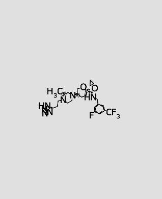 C[C@H]1CN([C@@H]2CC[C@@](C(=O)NCc3cc(F)cc(C(F)(F)F)c3)(C3CC3)OC2)CCN1CCc1nnn[nH]1